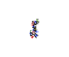 COc1cnc(Cl)cc1-c1cc(C)ncc1C(=O)Nc1nc2c(s1)CN(C(=O)c1ccc(C(F)F)nc1OC)C2